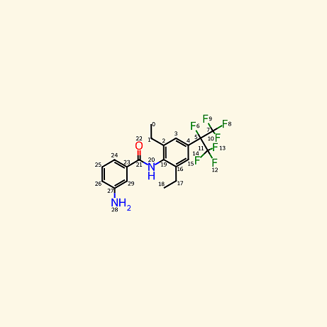 CCc1cc(C(F)(C(F)(F)F)C(F)(F)F)cc(CC)c1NC(=O)c1cccc(N)c1